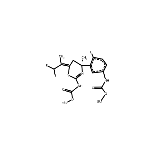 C/C(=C1\C[C@@](C)(c2cc(NC(=O)OC(C)(C)C)ccc2F)N=C(NC(=O)OC(C)(C)C)S1)C(F)F